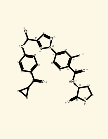 CCC(Oc1ccc(C(=O)C2CC2)cc1)c1cnn(-c2ccc(C(=O)N[C@H]3CCNC3=O)c(F)c2)n1